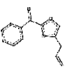 C=CCc1coc(C(=O)c2ccccc2)n1